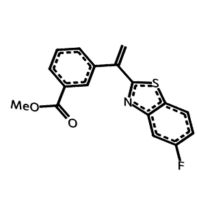 C=C(c1cccc(C(=O)OC)c1)c1nc2cc(F)ccc2s1